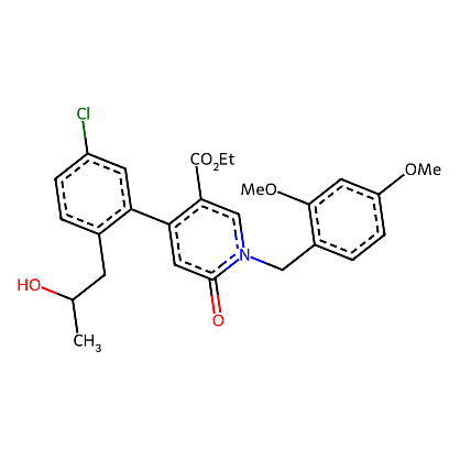 CCOC(=O)c1cn(Cc2ccc(OC)cc2OC)c(=O)cc1-c1cc(Cl)ccc1CC(C)O